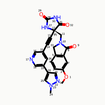 COc1ccc2c(c1)C(=O)N(C[C@@]1(C#Cc3cncc(-c4cnn(C)c4)c3)NC(=O)NC1=O)C2